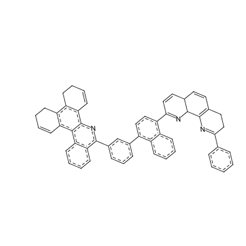 C1=Cc2c(c3c(c4c2nc(-c2cccc(-c5ccc(C6=NC7C8=C(C=CC7C=C6)CCC(c6ccccc6)=N8)c6ccccc56)c2)c2ccccc24)C=CCC3)CC1